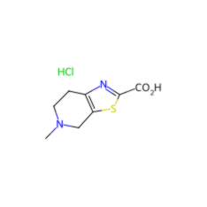 CN1CCc2nc(C(=O)O)sc2C1.Cl